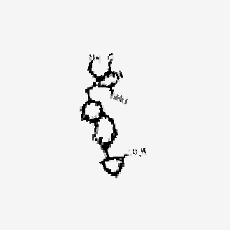 CCCCc1nc(Cl)c(CO)n1Cc1ccc2nc(-c3ccccc3C(=O)O)ccc2c1